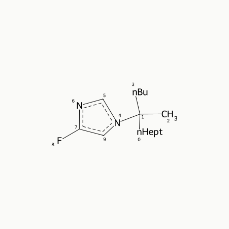 CCCCCCCC(C)(CCCC)n1cnc(F)c1